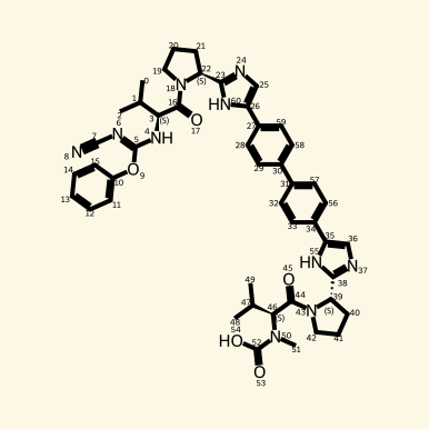 CC(C)[C@H](NC(=NC#N)Oc1ccccc1)C(=O)N1CCC[C@H]1c1ncc(-c2ccc(-c3ccc(-c4cnc([C@@H]5CCCN5C(=O)[C@H](C(C)C)N(C)C(=O)O)[nH]4)cc3)cc2)[nH]1